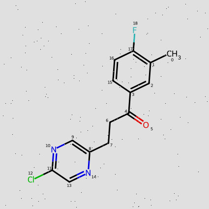 Cc1cc(C(=O)CCc2cnc(Cl)cn2)ccc1F